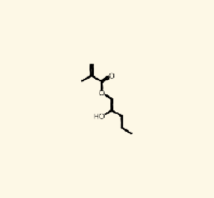 C=C(C)C(=O)OCC(O)CCC